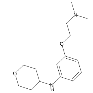 CN(C)CCOc1cc[c]c(NC2CCOCC2)c1